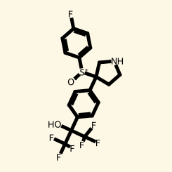 [O-][S+](c1ccc(F)cc1)C1(c2ccc(C(O)(C(F)(F)F)C(F)(F)F)cc2)CCNC1